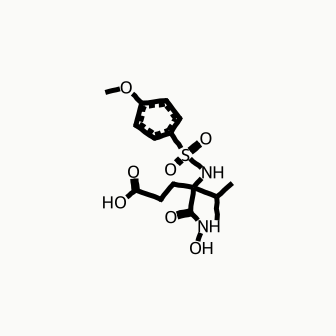 COc1ccc(S(=O)(=O)NC(CCC(=O)O)(C(=O)NO)C(C)C)cc1